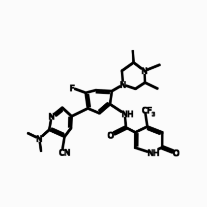 CC1CN(c2cc(F)c(-c3cnc(N(C)C)c(C#N)c3)cc2NC(=O)c2c[nH]c(=O)cc2C(F)(F)F)CC(C)N1C